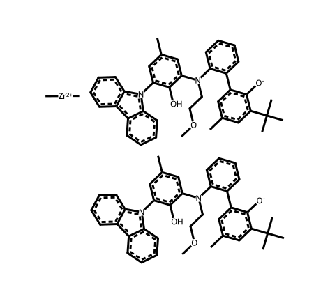 COCCN(c1ccccc1-c1cc(C)cc(C(C)(C)C)c1[O-])c1cc(C)cc(-n2c3ccccc3c3ccccc32)c1O.COCCN(c1ccccc1-c1cc(C)cc(C(C)(C)C)c1[O-])c1cc(C)cc(-n2c3ccccc3c3ccccc32)c1O.[CH3][Zr+2][CH3]